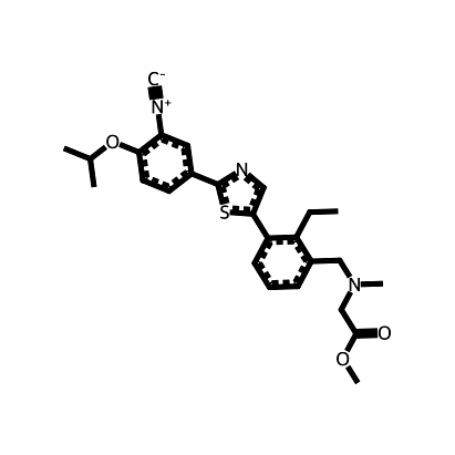 [C-]#[N+]c1cc(-c2ncc(-c3cccc(CN(C)CC(=O)OC)c3CC)s2)ccc1OC(C)C